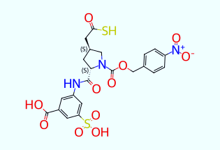 O=C(S)C[C@@H]1C[C@@H](C(=O)Nc2cc(C(=O)O)cc(S(=O)(=O)O)c2)N(C(=O)OCc2ccc([N+](=O)[O-])cc2)C1